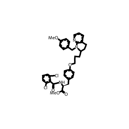 COC(=O)[C@H](Cc1ccc(OCCCC2CCc3cccnc3N2Cc2ccc(OC)cc2)cc1)NC(=O)c1c(Cl)cccc1Cl